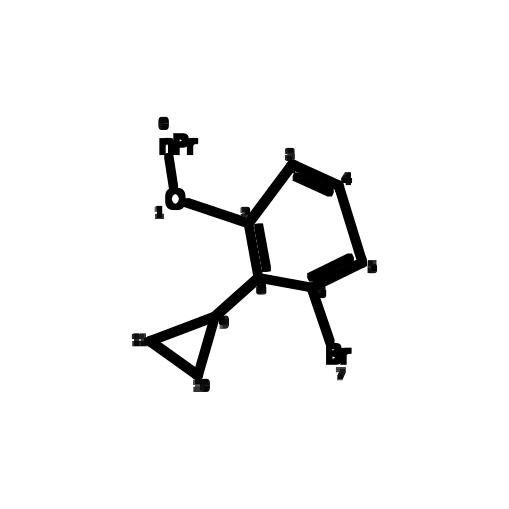 CCCOc1[c]ccc(Br)c1C1CC1